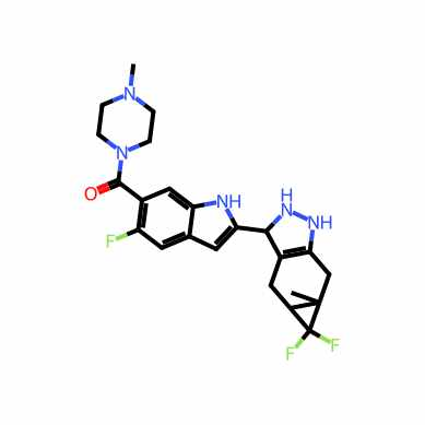 CN1CCN(C(=O)c2cc3[nH]c(C4NNC5=C4CC4C(F)(F)C4(C)C5)cc3cc2F)CC1